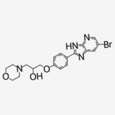 OC(COc1ccc(-c2nc3cc(Br)cnc3[nH]2)cc1)CN1CCOCC1